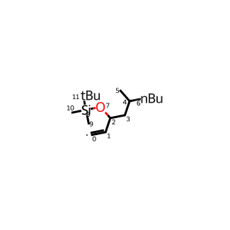 [CH]=CC(CC(C)CCCC)O[Si](C)(C)C(C)(C)C